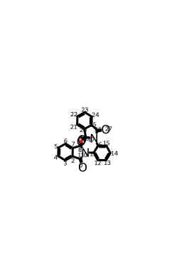 O=C1c2ccccc2C(=O)N1c1ccccc1N1C(=O)c2ccccc2C1=O